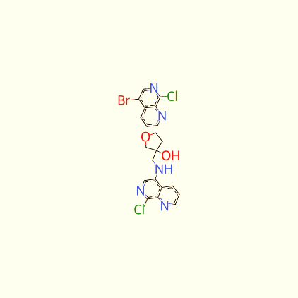 Clc1ncc(Br)c2cccnc12.OC1(CNc2cnc(Cl)c3ncccc23)CCOC1